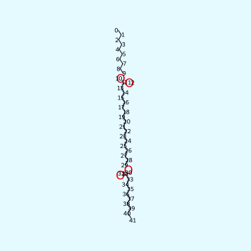 CCCCCCCCCCOC(=O)CCCCCCCCCCCCCCCCCOC(=O)CCCCCCCCC